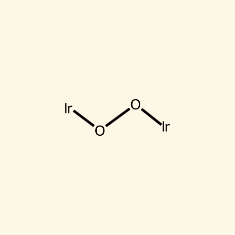 [Ir][O][O][Ir]